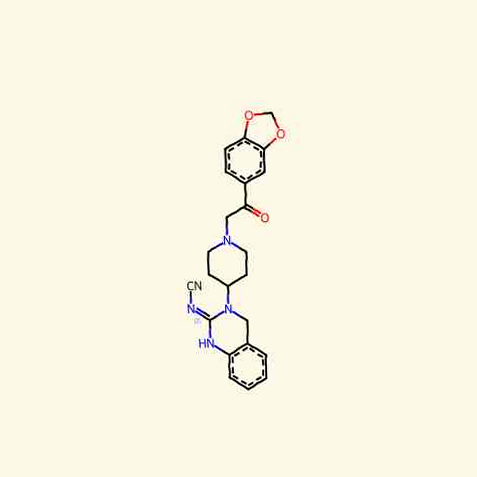 N#C/N=C1/Nc2ccccc2CN1C1CCN(CC(=O)c2ccc3c(c2)OCO3)CC1